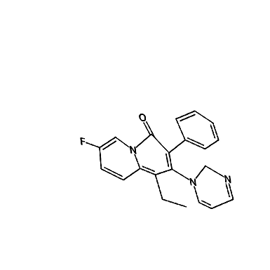 CCc1c(N2C=CC=NC2)c(-c2ccccc2)c(=O)n2cc(F)ccc12